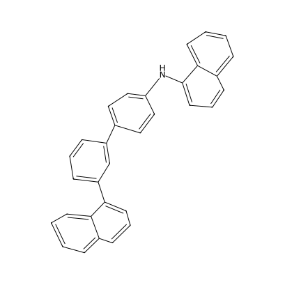 c1cc(-c2ccc(Nc3cccc4ccccc34)cc2)cc(-c2cccc3ccccc23)c1